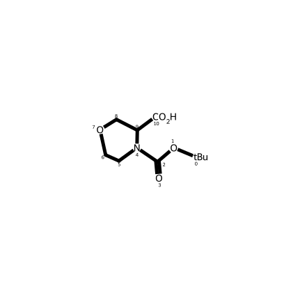 CC(C)(C)OC(=O)N1CCOCC1C(=O)O